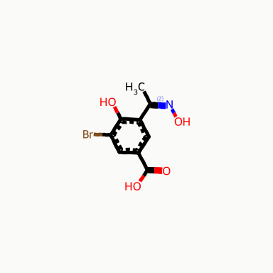 C/C(=N/O)c1cc(C(=O)O)cc(Br)c1O